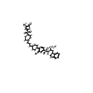 O=C(O)C(CC1C=Nc2ccccc21)NS(=O)(=O)c1cnc(N2CCC(CCCC3CCN(S(=O)(=O)c4cc(Br)c(Cl)s4)CC3)CC2)c(Br)c1